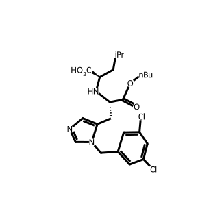 CCCCOC(=O)[C@H](Cc1cncn1Cc1cc(Cl)cc(Cl)c1)N[C@H](CC(C)C)C(=O)O